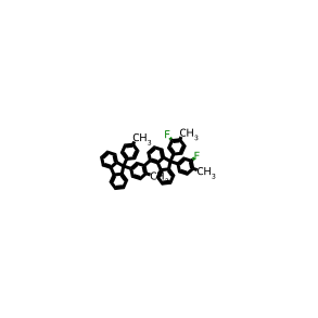 Cc1ccc(C2(c3ccc(C)c(-c4cccc5c4-c4ccccc4C5(c4ccc(C)c(F)c4)c4ccc(C)c(F)c4)c3)c3ccccc3-c3ccccc32)cc1